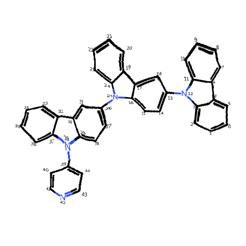 c1ccc2c(c1)c1ccccc1n2-c1ccc2c(c1)c1ccccc1n2-c1ccc2c(c1)c1ccccc1n2-c1ccncc1